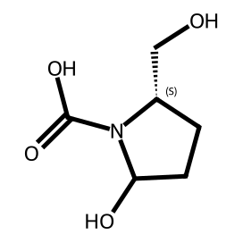 O=C(O)N1C(O)CC[C@H]1CO